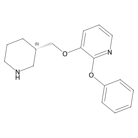 c1ccc(Oc2ncccc2OC[C@H]2CCCNC2)cc1